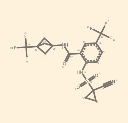 N#CC1(S(=O)(=O)Nc2ccc(C(F)(F)F)cc2C(=O)NC23CC(C(F)(F)F)(C2)C3)CC1